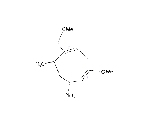 COC/C1=C/C/C(OC)=C\C(N)CC1C